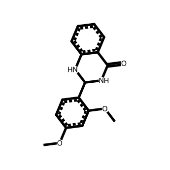 COc1ccc(C2NC(=O)c3ccccc3N2)c(OC)c1